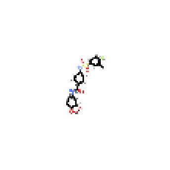 Cc1cc(S(=O)(=O)Nc2ccc(C(=O)Nc3ccc4c(c3)OCO4)cc2)ccc1F